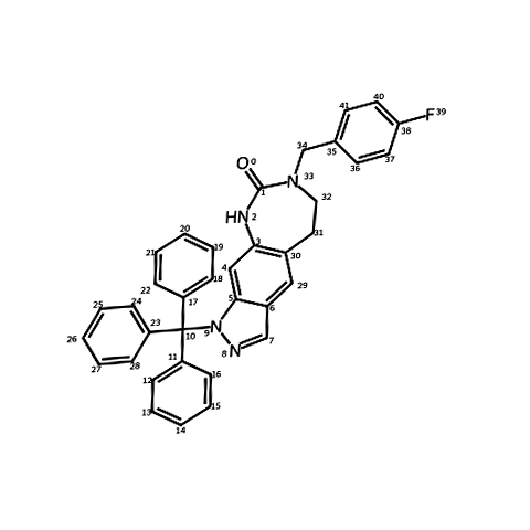 O=C1Nc2cc3c(cnn3C(c3ccccc3)(c3ccccc3)c3ccccc3)cc2CCN1Cc1ccc(F)cc1